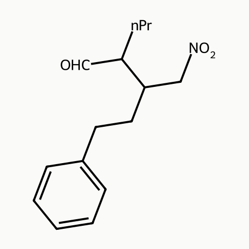 CCCC(C=O)C(CCc1ccccc1)C[N+](=O)[O-]